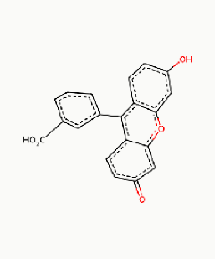 O=C(O)c1cccc(-c2c3ccc(=O)cc-3oc3cc(O)ccc23)c1